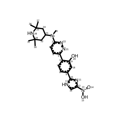 CN(c1ccc(-c2ccc(-c3nc([N+](=O)O)c[nH]3)cc2O)nn1)C1CC(C)(C)NC(C)(C)C1